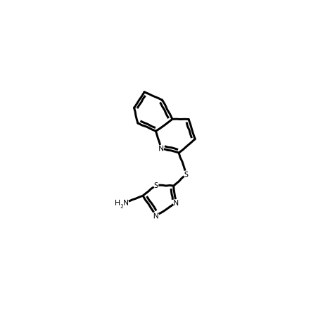 Nc1nnc(Sc2ccc3ccccc3n2)s1